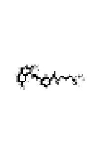 CN(C)CCCNC(=O)c1cccc(C#Cc2c(N)ncc3ccc(Cl)cc23)c1